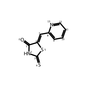 O=C1NC(=S)S/C1=C\c1ccccn1